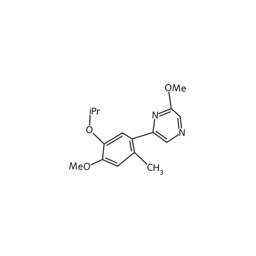 COc1cncc(-c2cc(OC(C)C)c(OC)cc2C)n1